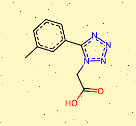 Cc1cccc(-c2nnnn2CC(=O)O)c1